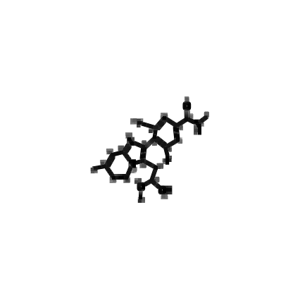 CNC(=O)c1cc(F)c(-c2nc3cc(C)ccn3c2CC(O)OC)c(F)c1